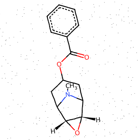 CN1C2CC(OC(=O)c3ccccc3)CC1[C@@H]1O[C@H]21